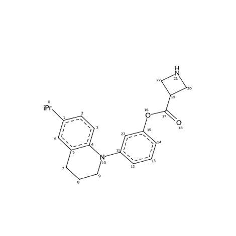 CC(C)c1ccc2c(c1)CCCN2c1cccc(OC(=O)C2CNC2)c1